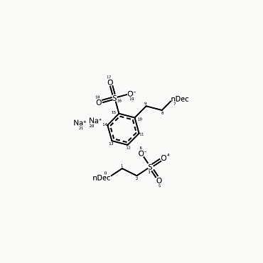 CCCCCCCCCCCCS(=O)(=O)[O-].CCCCCCCCCCCCc1ccccc1S(=O)(=O)[O-].[Na+].[Na+]